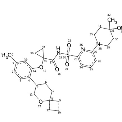 Cc1ccc(C2CCC3(CCC3)OC2)c(OC2(C(=O)NS(=O)(=O)c3cccc(N4CCC(C)(O)CC4)n3)CC2)c1